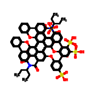 CCC(CC)N1C(=O)c2cc(Oc3ccccc3-c3ccccc3)c3c4c(Oc5ccccc5-c5ccccc5)cc5c6c(cc(Oc7ccc(S(=O)(=O)O)cc7-c7ccc(S(=O)(=O)O)cc7)c(c7c(Oc8ccc(S(=O)(=O)O)cc8-c8ccc(S(=O)(=O)O)cc8)cc(c2c37)C1=O)c64)C(=O)N(C(CC)CC)C5=O